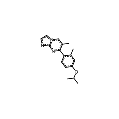 Cc1cc(OC(C)C)ccc1-c1nc2nccn2cc1C